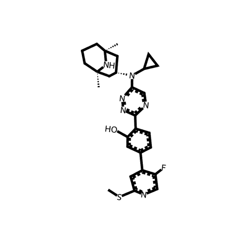 CSc1cc(-c2ccc(-c3ncc(N(C4CC4)[C@H]4C[C@]5(C)CCC[C@](C)(C4)N5)nn3)c(O)c2)c(F)cn1